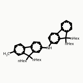 CCCCCCC1(CCCCCC)c2ccccc2-c2ccc(Nc3ccc4c(c3)C(CCCCCC)(CCCCCC)c3cc(C)ccc3-4)cc21